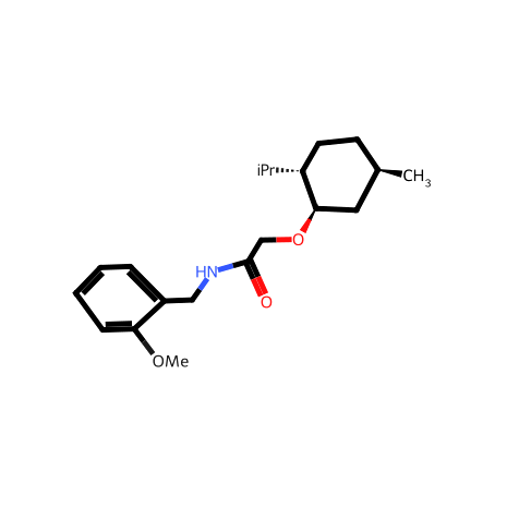 COc1ccccc1CNC(=O)CO[C@@H]1C[C@H](C)CC[C@H]1C(C)C